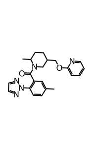 Cc1ccc(-n2nccn2)c(C(=O)N2CC(COc3ccccn3)CCC2C)c1